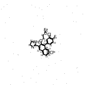 CCOCCOc1c(C2=NCCN2)cc2ccccc2c1-c1ccc(F)c(Cl)c1.Cl